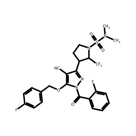 CN(C)S(=O)(=O)N1CCC(c2nn(C(=O)c3ccccc3F)c(OCc3ccc(F)cc3)c2C#N)C1C(F)(F)F